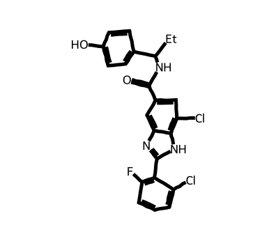 CCC(NC(=O)c1cc(Cl)c2[nH]c(-c3c(F)cccc3Cl)nc2c1)c1ccc(O)cc1